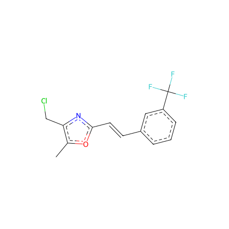 Cc1oc(/C=C/c2cccc(C(F)(F)F)c2)nc1CCl